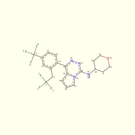 FC(F)(F)Cc1cc(C(F)(F)F)ccc1-c1nnc(NC2CCOCC2)n2cccc12